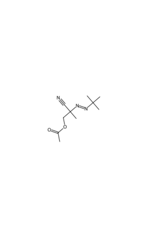 CC(=O)OCC(C)(C#N)N=NC(C)(C)C